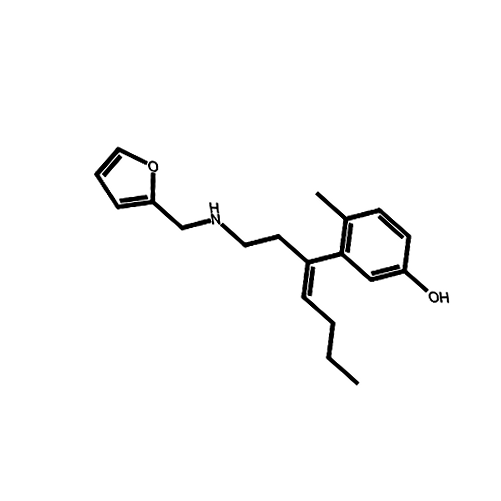 CCC/C=C(/CCNCc1ccco1)c1cc(O)ccc1C